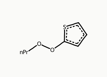 CCCOOc1cccs1